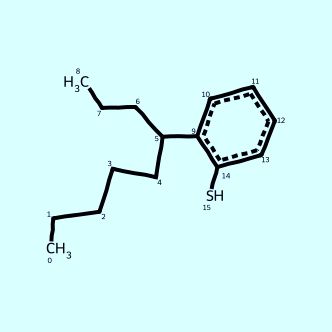 CCCCCC(CCC)c1ccccc1S